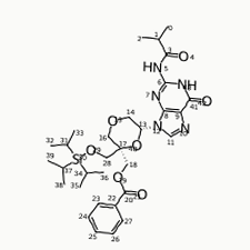 CC(C)C(=O)Nc1nc2c(ncn2[C@H]2COC[C@](COC(=O)c3ccccc3)(CO[Si](C(C)C)(C(C)C)C(C)C)O2)c(=O)[nH]1